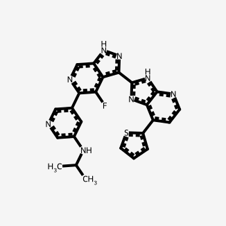 CC(C)Nc1cncc(-c2ncc3[nH]nc(-c4nc5c(-c6cccs6)ccnc5[nH]4)c3c2F)c1